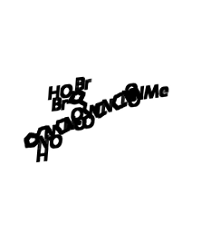 CNS(=O)(=O)N1CCC(N2CCN(C(=O)C(Cc3cc(Br)c(O)c(Br)c3)OC(=O)N3CCC(N4CCc5ccccc5NC4=O)CC3)CC2)CC1